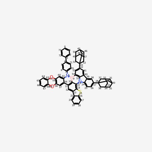 c1ccc(-c2ccc(N3B4c5c(cc6c(sc7ccccc76)c5-n5c6ccc(C78CC9CC(CC(C9)C7)C8)cc6c6cc(C78CC9CC(CC(C9)C7)C8)cc4c65)-c4cc5c(cc43)Oc3ccccc3O5)cc2)cc1